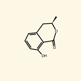 C[C@@H]1Cc2cccc(O)c2C(=O)O1